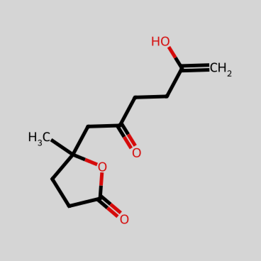 C=C(O)CCC(=O)CC1(C)CCC(=O)O1